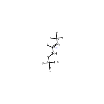 C/C(=N\C(C)(C)C)NCC(F)(F)F